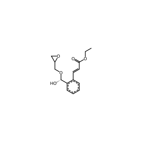 CCOC(=O)/C=C/c1ccccc1[C@H](O)OCC1CO1